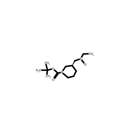 CC[S+]([O-])C[C@H]1CCCN(C(=O)OC(C)(C)C)C1